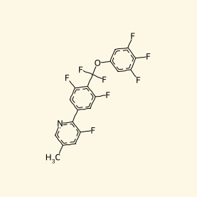 Cc1cnc(-c2cc(F)c(C(F)(F)Oc3cc(F)c(F)c(F)c3)c(F)c2)c(F)c1